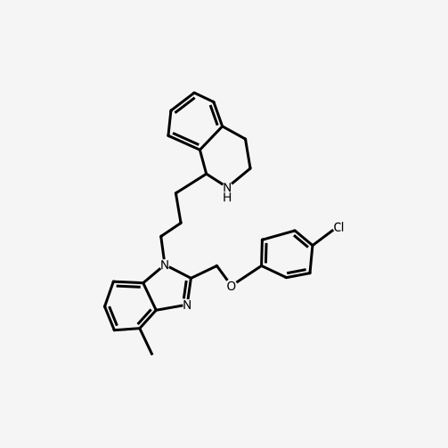 Cc1cccc2c1nc(COc1ccc(Cl)cc1)n2CCCC1NCCc2ccccc21